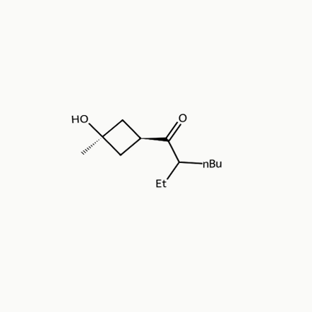 CCCCC(CC)C(=O)[C@H]1C[C@@](C)(O)C1